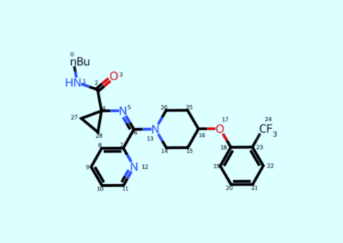 CCCCNC(=O)C1(/N=C(\c2ccccn2)N2CCC(Oc3ccccc3C(F)(F)F)CC2)CC1